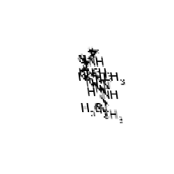 Cc1nc(NCCN(C)C)nc(Nc2ncc(C(=O)NC3CC3)n2C)n1